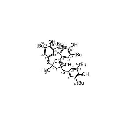 CC(C)(CC(C)(Sc1cc(C(C)(C)C)c(O)c(C(C)(C)C)c1)Sc1cc(C(C)(C)C)c(O)c(C(C)(C)C)c1)Sc1cc(C(C)(C)C)c(O)c(C(C)(C)C)c1